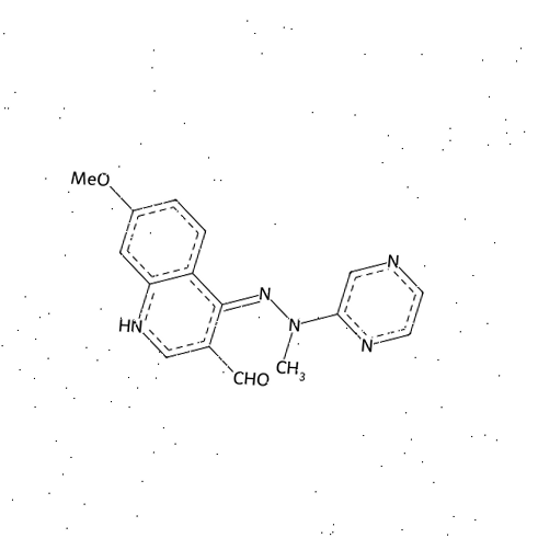 COc1ccc2/c(=N/N(C)c3cnccn3)c(C=O)c[nH]c2c1